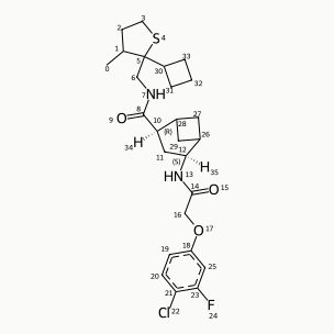 CC1CCSC1(CNC(=O)[C@@H]1C[C@H](NC(=O)COc2ccc(Cl)c(F)c2)C2CC1C2)C1CCC1